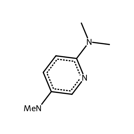 [CH2]Nc1ccc(N(C)C)nc1